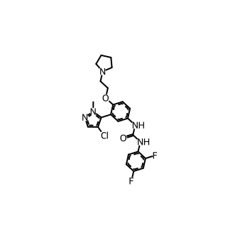 Cn1ncc(Cl)c1-c1cc(NC(=O)Nc2ccc(F)cc2F)ccc1OCCN1CCCC1